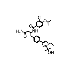 CCn1cc(-c2ccc(CC(CC(N)=O)NC(=O)c3ccc(OC(C)C)c(Cl)c3)cc2)nc1C(C)(C)O